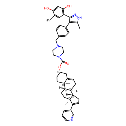 Cc1[nH]nc(-c2cc(C(C)C)c(O)cc2O)c1-c1ccc(CN2CCN(C(=O)O[C@H]3CC[C@@]4(C)C(=CC[C@@H]5[C@@H]4CC[C@]4(C)C(c6cccnc6)=CC[C@@H]54)C3)CC2)cc1